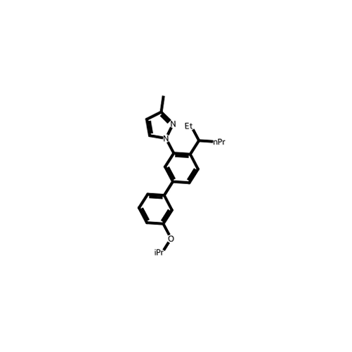 CCCC(CC)c1ccc(-c2cccc(OC(C)C)c2)cc1-n1ccc(C)n1